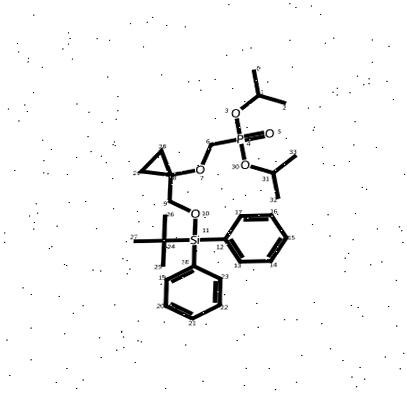 CC(C)OP(=O)(COC1(CO[Si](c2ccccc2)(c2ccccc2)C(C)(C)C)CC1)OC(C)C